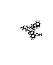 CC(C)(C)c1cc2n(n1)CC(C)(C(=O)NC1CCCCC1)N(Cc1ccccc1O)C2=O